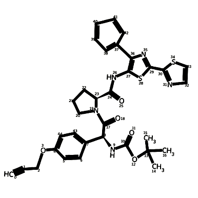 C#CCOc1ccc([C@H](NC(=O)OC(C)(C)C)C(=O)N2CCC[C@H]2C(=O)Nc2sc(-c3nccs3)nc2-c2ccccc2)cc1